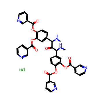 CNC(C(=O)C(NC)c1ccc(OC(=O)c2cccnc2)c(OC(=O)c2cccnc2)c1)c1ccc(OC(=O)c2cccnc2)c(OC(=O)c2cccnc2)c1.Cl